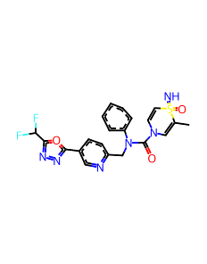 CC1=CN(C(=O)N(Cc2ccc(-c3nnc(C(F)F)o3)cn2)c2ccccc2)C=CS1(=N)=O